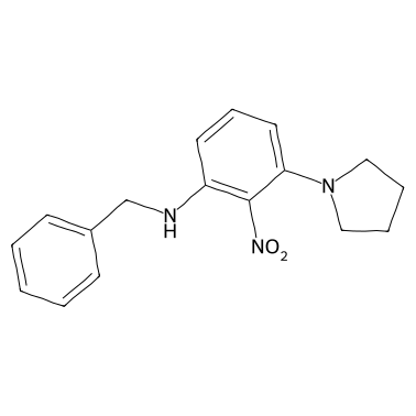 O=[N+]([O-])c1c(NCc2ccccc2)cccc1N1CCCC1